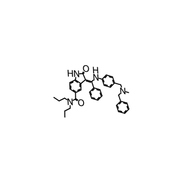 CCCN(CCC)C(=O)c1ccc2c(c1)/C(=C(/Nc1ccc(CN(C)Cc3ccccc3)cc1)c1ccccc1)C(=O)N2